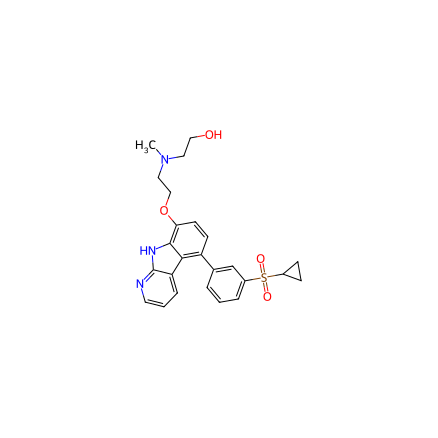 CN(CCO)CCOc1ccc(-c2cccc(S(=O)(=O)C3CC3)c2)c2c1[nH]c1ncccc12